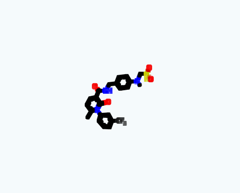 Cc1ccc(C(=O)NCc2ccc(N(C)C[SH](=O)=O)cc2)c(=O)n1-c1cccc(C(F)(F)F)c1